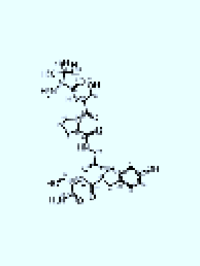 CC(C)(S)[C@H](N)C(=O)N[C@@H](CO)C(=O)N1CCCC1C(=O)NCC(=O)N[C@@H](Cc1ccc(O)cc1)C(=O)N[C@@H](CO)C(N)=O